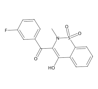 CN1C(C(=O)c2cccc(F)c2)=C(O)c2ccccc2S1(=O)=O